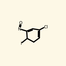 O=NC1=CC(Cl)=CCC1I